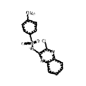 COc1ccc(S(=O)(=O)Nc2nc3ccccc3nc2Cl)cc1